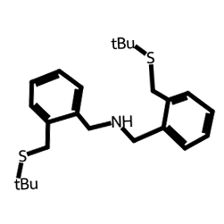 CC(C)(C)SCc1ccccc1CNCc1ccccc1CSC(C)(C)C